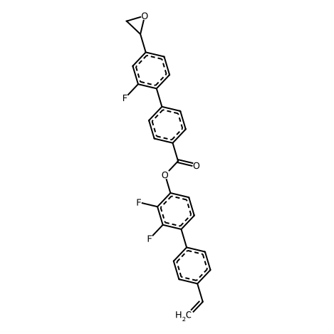 C=Cc1ccc(-c2ccc(OC(=O)c3ccc(-c4ccc(C5CO5)cc4F)cc3)c(F)c2F)cc1